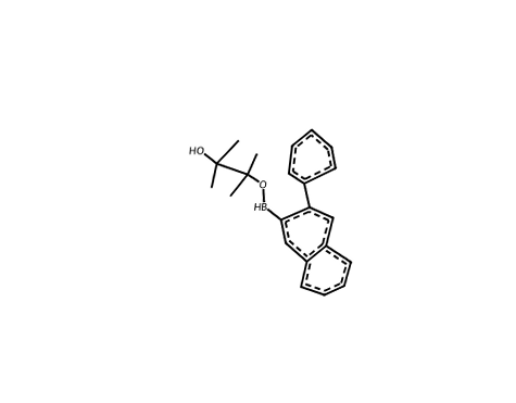 CC(C)(O)C(C)(C)OBc1cc2ccccc2cc1-c1ccccc1